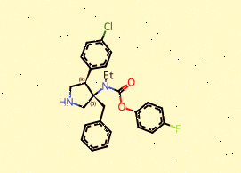 CCN(C(=O)Oc1ccc(F)cc1)[C@]1(Cc2ccccc2)CNC[C@H]1c1ccc(Cl)cc1